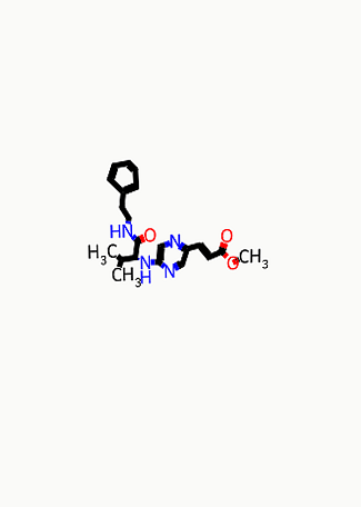 COC(=O)/C=C/c1cnc(N[C@@H](C(=O)NCCc2ccccc2)C(C)C)cn1